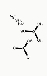 OB(O)O.[Ag+].[Na+].[O-]B([O-])O.[SiH4]